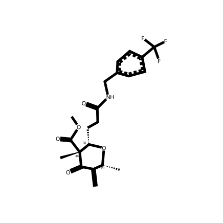 C=C1C(=O)[C@](C)(C(=O)OC)[C@H](CCC(=O)NCc2ccc(C(F)(F)F)cc2)O[C@@H]1C